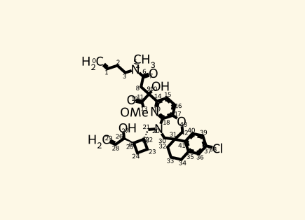 C=CCCN(C)C(=O)CC(O)(C(=O)OC)c1ccc2c(n1)N(C[C@@H]1CC[C@H]1C(O)C=C)CC1(CCCc3cc(Cl)ccc31)CO2